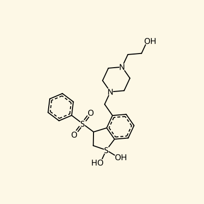 O=S(=O)(c1ccccc1)C1CS(O)(O)c2cccc(CN3CCN(CCO)CC3)c21